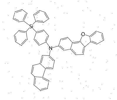 c1ccc([Si](c2ccccc2)(c2ccccc2)c2ccc(N(c3ccc4c(ccc5ccccc54)c3)c3ccc4c(ccc5c6ccccc6oc45)c3)cc2)cc1